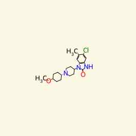 CO[C@H]1CC[C@H](N2CCC(n3c(=O)[nH]c4cc(Cl)c(C)cc43)CC2)CC1